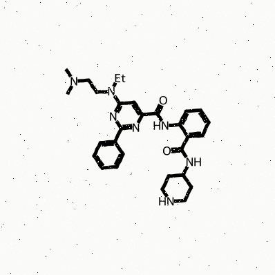 CCN(CCN(C)C)c1cc(C(=O)Nc2ccccc2C(=O)NC2CCNCC2)nc(-c2ccccc2)n1